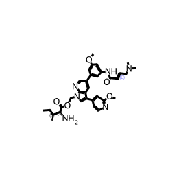 CC[C@H](C)[C@H](N)C(=O)OCn1cc(-c2ccnc(OC)c2)c2cc(-c3cc(NC(=O)/C=C/CN(C)C)cc(OC)c3)cnc21